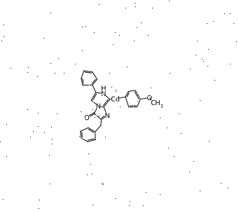 COc1cc[c]([Cd][c]2[nH]c(-c3ccccc3)cn3c(=O)c(Cc4ccccc4)nc2-3)cc1